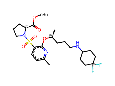 CCCCOC(=O)[C@@H]1CCCN1S(=O)(=O)c1ccc(C)nc1O[C@@H](C)CCCNC1CCC(F)(F)CC1